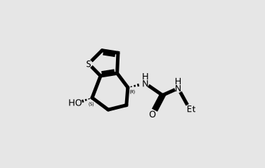 CCNC(=O)N[C@@H]1CC[C@H](O)c2sccc21